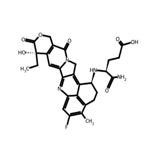 CC[C@@]1(O)C(=O)OCc2c1cc1n(c2=O)Cc2c-1nc1cc(F)c(C)c3c1c2[C@@H](N[C@@H](CCC(=O)O)C(N)=O)CC3